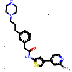 Cc1cc(-c2csc(NC(=O)Cc3cccc(CCCN4CCNCC4)c3)c2)ccn1